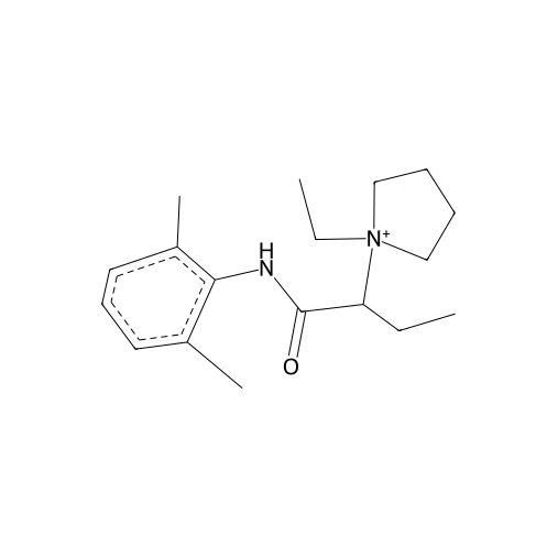 CCC(C(=O)Nc1c(C)cccc1C)[N+]1(CC)CCCC1